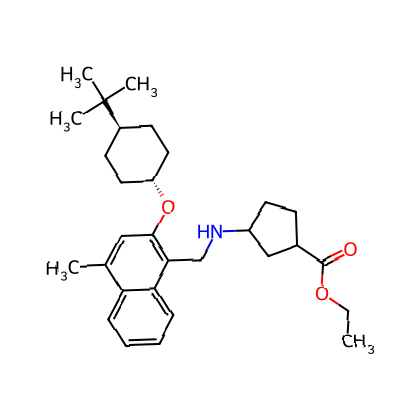 CCOC(=O)C1CCC(NCc2c(O[C@H]3CC[C@H](C(C)(C)C)CC3)cc(C)c3ccccc23)C1